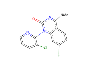 CNc1nc(=O)n(-c2ncccc2Cl)c2cc(Cl)ccc12